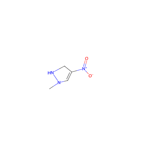 CN1C=C([N+](=O)[O-])CN1